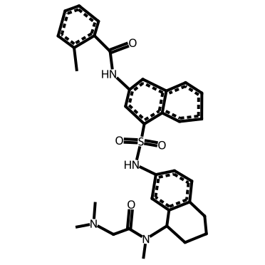 Cc1ccccc1C(=O)Nc1cc(S(=O)(=O)Nc2ccc3c(c2)C(N(C)C(=O)CN(C)C)CCC3)c2ccccc2c1